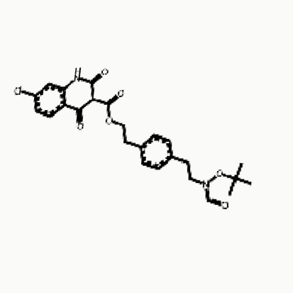 CC(C)(C)ON(C=O)CCc1ccc(CCOC(=O)C2C(=O)Nc3cc(Cl)ccc3C2=O)cc1